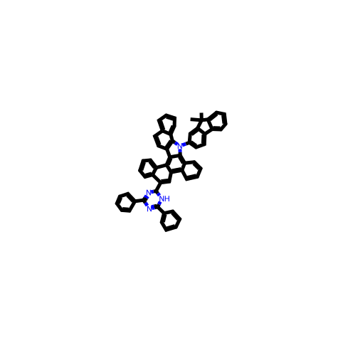 CC1(C)c2ccccc2-c2ccc(-n3c4c5ccccc5ccc4c4c5c6ccccc6c(C6N=C(c7ccccc7)N=C(c7ccccc7)N6)cc5c5ccccc5c43)cc21